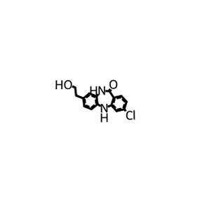 O=C1Nc2cc(CCO)ccc2Nc2cc(Cl)ccc21